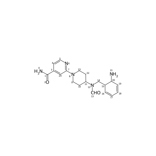 NC(=O)c1ccnc(N2CCC(N(C=O)CC3C=CC=CC3N)CC2)c1